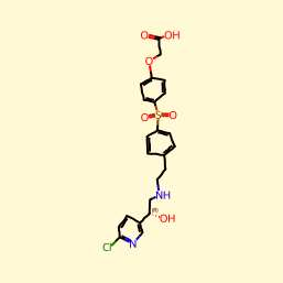 O=C(O)COc1ccc(S(=O)(=O)c2ccc(CCNC[C@H](O)c3ccc(Cl)nc3)cc2)cc1